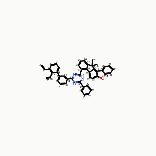 C=Cc1cccc(-c2cccc(-c3nc(-c4ccccc4)nc(-c4cccc5c4-c4ccc6oc7ccccc7c6c4C5(C)C)n3)c2)c1C=C